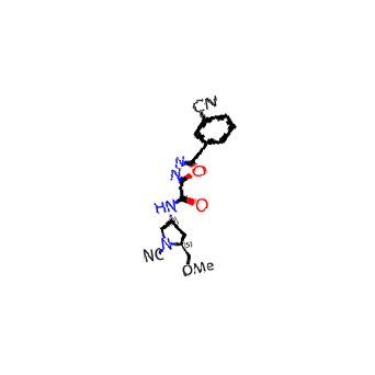 COC[C@@H]1C[C@@H](NC(=O)c2nnc(-c3cccc(C#N)c3)o2)CN1C#N